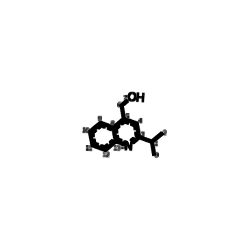 CC(C)c1cc(CO)c2ccccc2n1